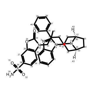 Cc1nc2ccccc2n1C1C[C@H]2CC[C@@H](C1)N2CCC(Cn1c(=O)oc2cc(S(N)(=O)=O)ccc21)c1ccccc1